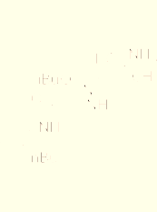 CCCCC1CCCCC1NC(=O)C1=C(OCC(C)C)N(/C=C/C(C)(C)N)NC1